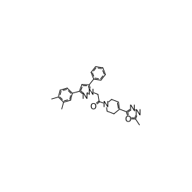 Cc1nnc(C2=CCN(C(=O)Cn3nc(-c4ccc(C)c(C)c4)cc3-c3ccccc3)CC2)o1